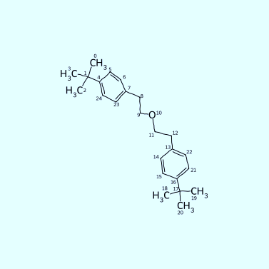 CC(C)(C)c1ccc(CCOCCc2ccc(C(C)(C)C)cc2)cc1